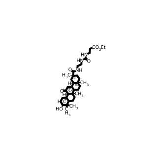 CCOC(=O)CCNC(=O)NCCNC(=O)[C@@]1(C)CC[C@]2(C)CC[C@]3(C)C(=CC(=O)[C@@H]4[C@@]5(C)CC[C@H](O)C(C)(C)C5CC[C@]43C)[C@H]2C1